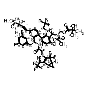 CC(C)(C)C(=O)OCN(c1nn(CC(F)(F)F)c2c(-c3ccc(C#CC(C)(C)S(C)(=O)=O)nc3[C@H](Cc3cc(F)cc(F)c3)NC(=O)Cn3nc(C(F)(F)F)c4c3C(F)(F)[C@@H]3CC43)ccc(Cl)c12)S(C)(=O)=O